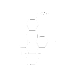 COc1ccc(CN2C(=O)[C@H]3COCC[C@H]3c3cc(Br)cnc32)cc1